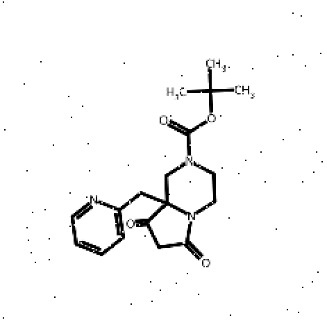 CC(C)(C)OC(=O)N1CCN2C(=O)CC(=O)C2(Cc2ccccn2)C1